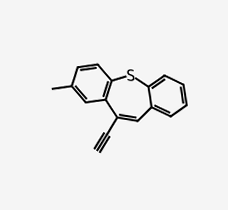 C#CC1=Cc2ccccc2Sc2ccc(C)cc21